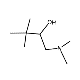 CN(C)CC(O)C(C)(C)C